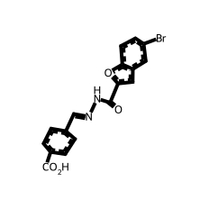 O=C(O)c1ccc(/C=N/NC(=O)c2cc3cc(Br)ccc3o2)cc1